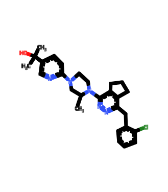 CC1CN(c2ccc(C(C)(C)O)cn2)CCN1c1nnc(Cc2ccccc2Cl)c2c1CCC2